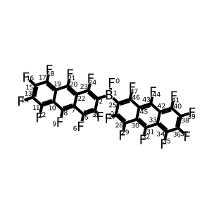 FB(c1c(F)c(F)c2c(F)c3c(F)c(F)c(F)c(F)c3c(F)c2c1F)c1c(F)c(F)c2c(F)c3c(F)c(F)c(F)c(F)c3c(F)c2c1F